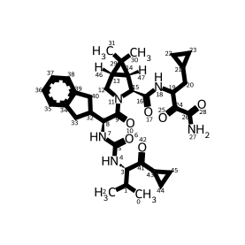 CC(C)[C@H](NC(=O)N[C@H](C(=O)N1C[C@H]2[C@@H]([C@H]1C(=O)NC(CC1CC1)C(=O)C(N)=O)C2(C)C)C1Cc2ccccc2C1)C(=O)C1CC1